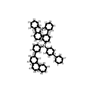 c1ccc(-c2ccc(N(c3ccc(-c4ccccc4-n4c5ccccc5c5ccccc54)cc3)c3cccc(-c4ccc5ccc6ccccc6c5c4)c3)cc2)cc1